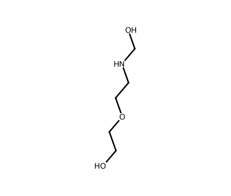 OCCOCCNCO